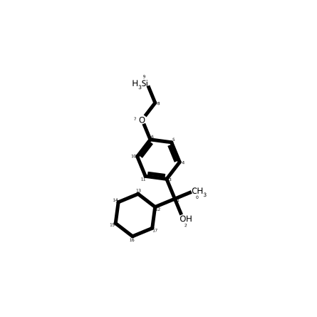 CC(O)(c1ccc(OC[SiH3])cc1)C1CCCCC1